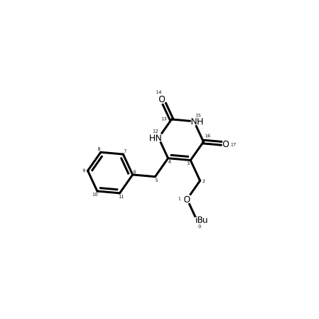 CCC(C)OCc1c(Cc2ccccc2)[nH]c(=O)[nH]c1=O